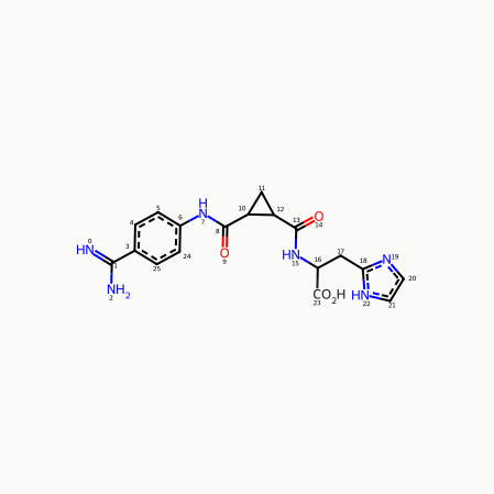 N=C(N)c1ccc(NC(=O)C2CC2C(=O)NC(Cc2ncc[nH]2)C(=O)O)cc1